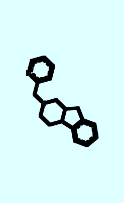 c1ccc(CN2CCC3c4ccccc4CC3C2)nc1